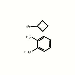 CCCC1CCC1.Cc1ccccc1C(=O)O